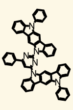 c1ccc(-c2cc(-n3c4ccccc4c4cc5c(cc43)c3ccccc3n5-c3ccccc3)nc(-n3c4ccccc4c4cc5c(cc43)c3ccccc3n5-c3ccccc3)n2)cc1